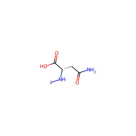 NC(=O)C[C@H](NI)C(=O)O